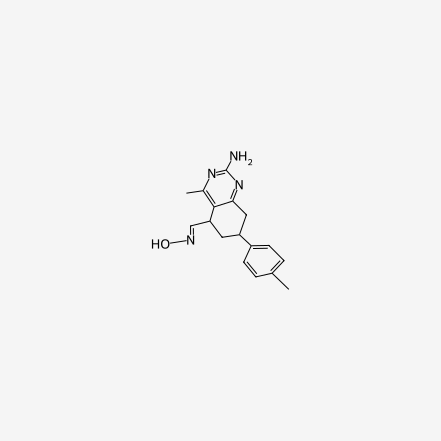 Cc1ccc(C2Cc3nc(N)nc(C)c3C(C=NO)C2)cc1